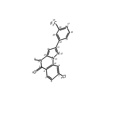 Cn1c(=O)c2ccc(Cl)cc2n2nc(-c3ccnc(C(F)(F)F)c3)cc12